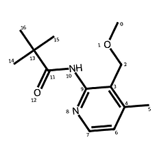 COCc1c(C)ccnc1NC(=O)C(C)(C)C